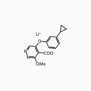 COc1nncc(Oc2cccc(C3CC3)c2)c1C(=O)[O-].[Li+]